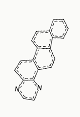 c1ccc2c(c1)ccc1c2ccc2c1ccc1nccnc12